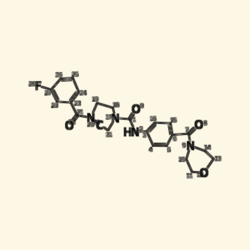 O=C(Nc1ccc(C(=O)N2CCOCC2)cc1)N1CCN(C(=O)c2cccc(F)c2)CC1